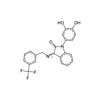 O=C1/C(=N\Cc2cccc(C(F)(F)F)c2)c2ccccc2N1c1ccc(O)c(O)c1